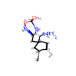 C[C@H]1CC(CN)(Cc2noc(=O)[nH]2)C[C@@H]1C